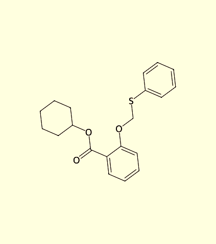 O=C(OC1CCCCC1)c1ccccc1OCSc1ccccc1